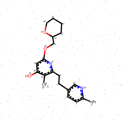 CCCc1ccc(CCc2nc(OCC3CCCCO3)cc(O)c2C(F)(F)F)cn1